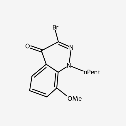 CCCCCn1nc(Br)c(=O)c2cccc(OC)c21